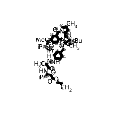 C=CCOC(=O)C(=O)C(NC(=O)C(C)NNc1ccc(COC(=O)N2c3cc(O[Si](C(C)C)(C(C)C)C(C)C)c(OC)cc3C(=O)N3C=C(C)C[C@H]3[C@@H]2O[Si](C)(C)C(C)(C)C)cc1)C(C)C